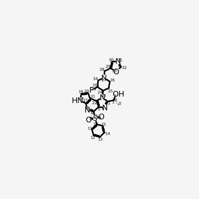 C[C@@H](O)c1nc2c(S(=O)(=O)c3ccccc3)nc3[nH]ccc3c2n1C1CCN(Cc2cnco2)CC1F